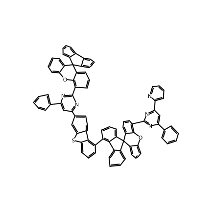 c1ccc(-c2cc(-c3ccc4c(c3)sc3cccc(-c5cccc6c5-c5ccccc5C65c6ccccc6Oc6c(-c7nc(-c8ccccc8)cc(-c8ccccn8)n7)cccc65)c34)nc(-c3cccc4c3Oc3ccccc3C43c4ccccc4-c4ccccc43)n2)cc1